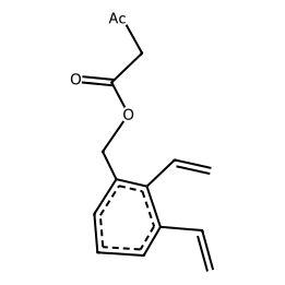 C=Cc1cccc(COC(=O)CC(C)=O)c1C=C